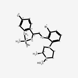 C[C@H]1CN(c2cccc(Br)c2OCC(O[Si](C)(C)C(C)(C)C)c2ccc(Cl)cc2)CCN1C(=O)O